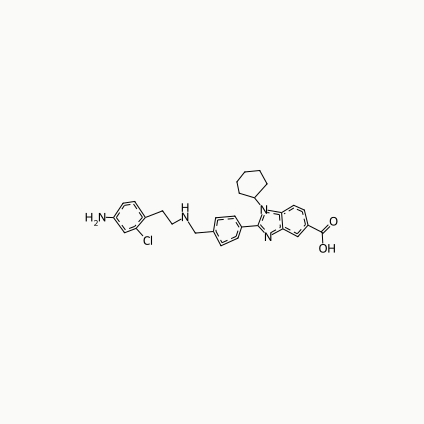 Nc1ccc(CCNCc2ccc(-c3nc4cc(C(=O)O)ccc4n3C3CCCCC3)cc2)c(Cl)c1